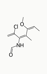 C=C(Cl)/C(NC=O)=C(C)\C(=C/C)OC